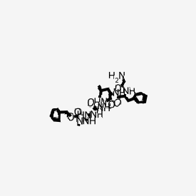 CC(C)CC(NC(=O)C(Cc1ccccc1)NC(=O)CN)C(=O)NNC(=O)NNNN(C)C(=O)OCc1ccccc1